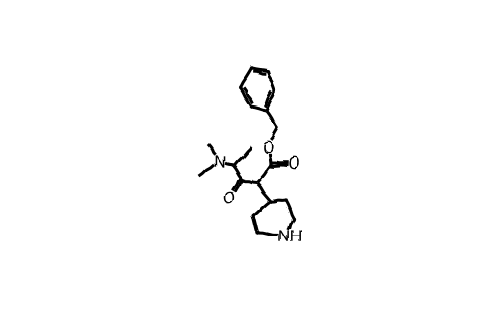 CC(C(=O)C(C(=O)OCc1ccccc1)C1CCNCC1)N(C)C